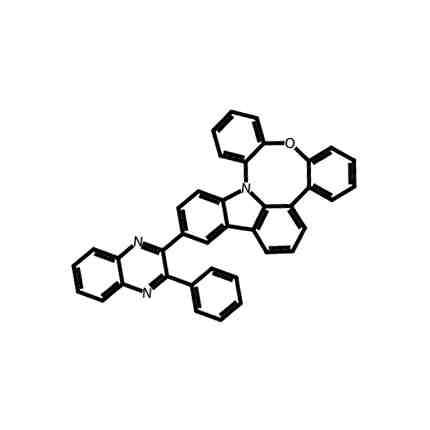 c1ccc(-c2nc3ccccc3nc2-c2ccc3c(c2)c2cccc4c5ccccc5oc5ccccc5n3c42)cc1